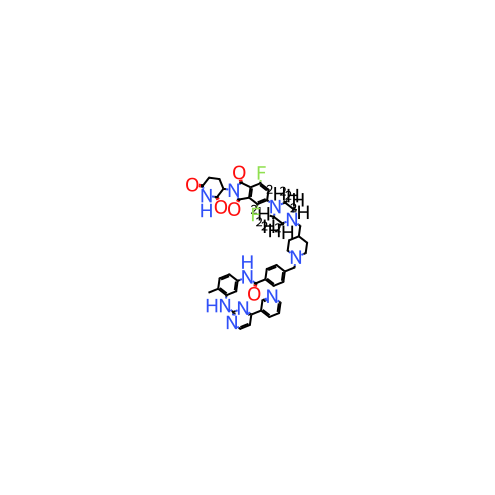 [2H]C1([2H])N(CC2CCN(Cc3ccc(C(=O)Nc4ccc(C)c(Nc5nccc(-c6cccnc6)n5)c4)cc3)CC2)C([2H])([2H])C([2H])([2H])N(c2cc(F)c3c(c2F)C(=O)N(C2CCC(=O)NC2=O)C3=O)C1([2H])[2H]